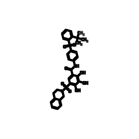 CC(C)(C)c1ccccc1S(=O)(=O)c1ccc(NC(=O)c2cc(S(=O)(=O)N3CCc4ccccc4C3)c(O)c(O)c2O)cc1